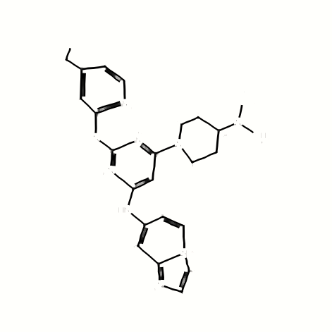 CCc1ccnc(Nc2nc(Nc3ccn4ccnc4c3)cc(N3CCC(N(C)C)CC3)n2)c1